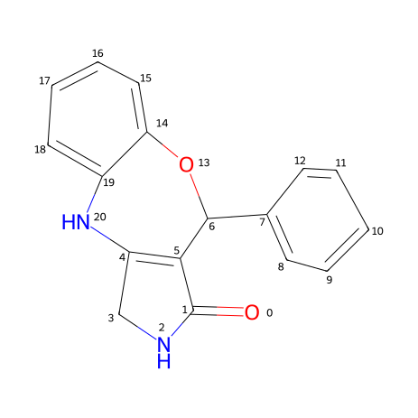 O=C1NCC2=C1C(c1ccccc1)Oc1ccccc1N2